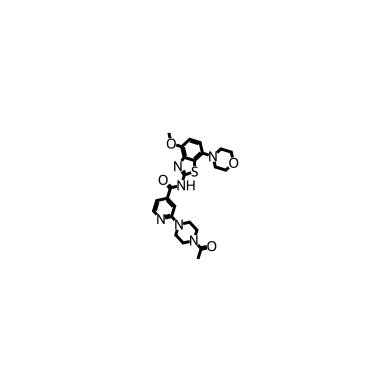 COc1ccc(N2CCOCC2)c2sc(NC(=O)c3ccnc(N4CCN(C(C)=O)CC4)c3)nc12